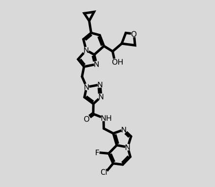 O=C(NCc1ncn2ccc(Cl)c(F)c12)c1cn(Cc2cn3cc(C4CC4)cc(C(O)C4COC4)c3n2)nn1